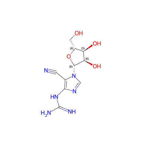 N#Cc1c(NC(=N)N)ncn1[C@@H]1O[C@H](CO)[C@@H](O)[C@H]1O